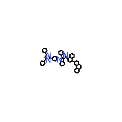 c1ccc(-c2cc(-c3ccccc3)nc(-c3ccc(-n4c5ccccc5c5c(-c6ccc(-c7ccc8ccc9ccccc9c8c7)c7ccccc67)nc6ccccc6c54)cc3)n2)cc1